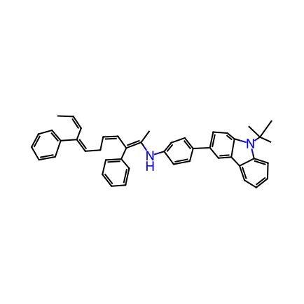 C/C=C\C(=C/C/C=C\C(=C(/C)Nc1ccc(-c2ccc3c(c2)c2ccccc2n3C(C)(C)C)cc1)c1ccccc1)c1ccccc1